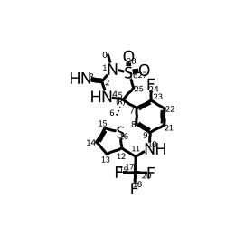 CN1C(=N)N[C@](C)(c2cc(NC(C3CC=CS3)C(F)(F)F)ccc2F)CS1(=O)=O